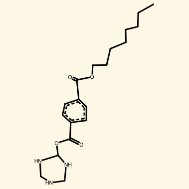 CCCCCCCCOC(=O)c1ccc(C(=O)OC2NCNCN2)cc1